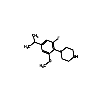 COc1cc(C(C)C)cc(F)c1N1CCNCC1